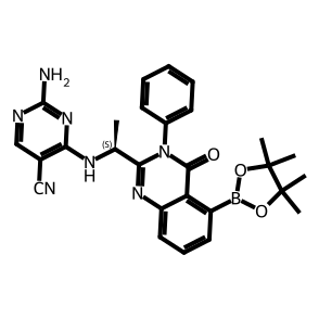 C[C@H](Nc1nc(N)ncc1C#N)c1nc2cccc(B3OC(C)(C)C(C)(C)O3)c2c(=O)n1-c1ccccc1